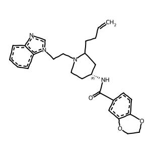 C=CCCC1C[C@H](NC(=O)c2ccc3c(c2)OCCO3)CCN1CCn1cnc2ccccc21